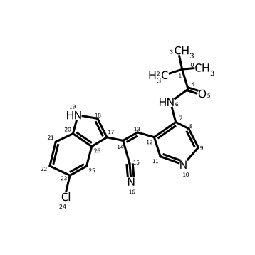 CC(C)(C)C(=O)Nc1ccncc1C=C(C#N)c1c[nH]c2ccc(Cl)cc12